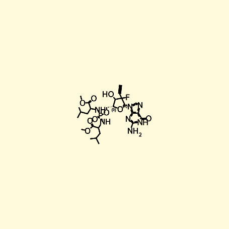 C#CC1(F)C(O)[C@@H](COP(=O)(NC(CC(C)C)C(=O)OC)NC(CC(C)C)C(=O)OC)O[C@H]1n1cnc2c(=O)[nH]c(N)nc21